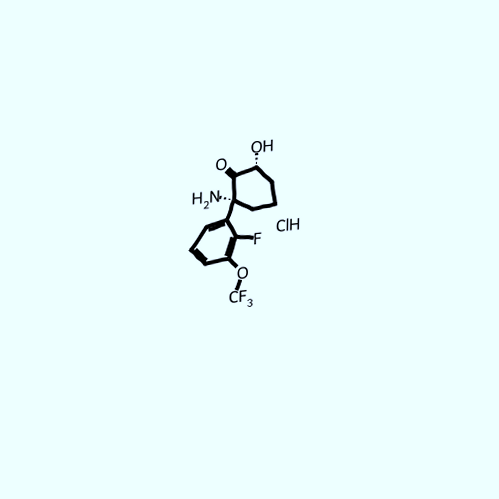 Cl.N[C@@]1(c2cccc(OC(F)(F)F)c2F)CCC[C@@H](O)C1=O